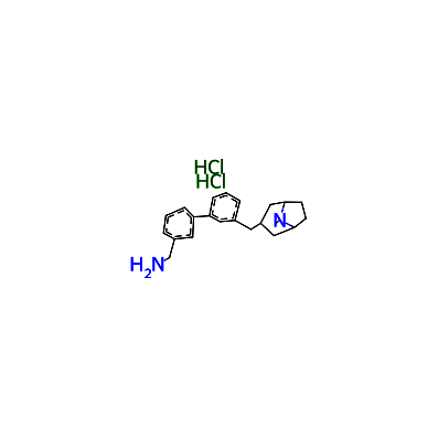 CN1C2CCC1CC(Cc1cccc(-c3cccc(CN)c3)c1)C2.Cl.Cl